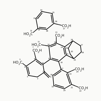 C=C1CC=C(C(=O)O)C(C(=O)O)=C1c1c(C(=O)O)c(C(=O)O)c2c(c1-c1cccc(C(=O)O)c1C(=O)O)C1CCC2CC1.O=C(O)c1cccc(C(=O)O)c1